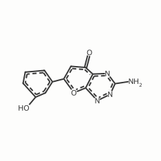 Nc1nnc2oc(-c3cccc(O)c3)cc(=O)c2n1